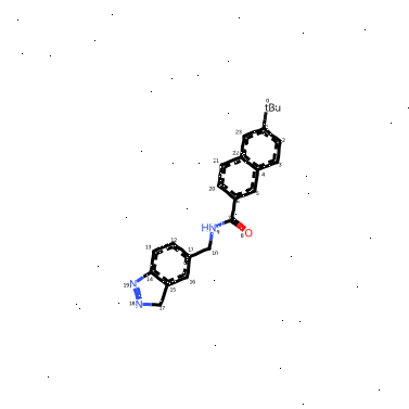 CC(C)(C)c1ccc2cc(C(=O)NCc3ccc4c(c3)CN=N4)ccc2c1